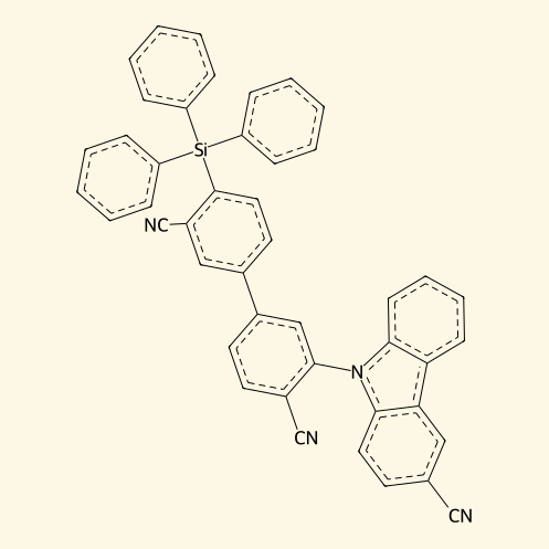 N#Cc1ccc2c(c1)c1ccccc1n2-c1cc(-c2ccc([Si](c3ccccc3)(c3ccccc3)c3ccccc3)c(C#N)c2)ccc1C#N